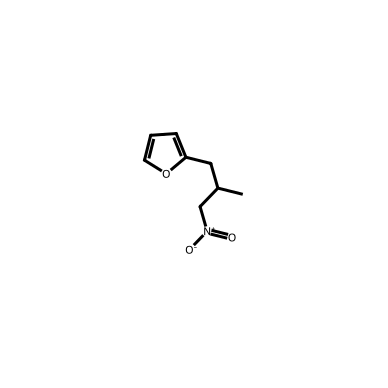 CC(Cc1ccco1)C[N+](=O)[O-]